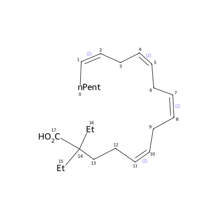 CCCCC/C=C\C/C=C\C/C=C\C/C=C\CCC(CC)(CC)C(=O)O